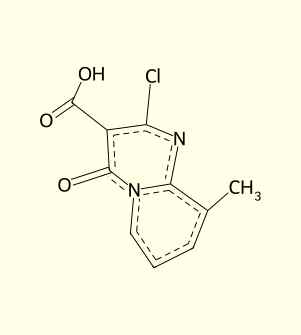 Cc1cccn2c(=O)c(C(=O)O)c(Cl)nc12